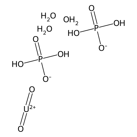 O.O.O.O=P([O-])(O)O.O=P([O-])(O)O.[O]=[U+2]=[O]